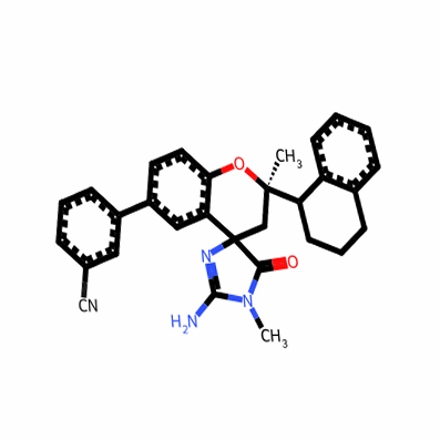 CN1C(=O)C2(C[C@](C)(C3CCCc4ccccc43)Oc3ccc(-c4cccc(C#N)c4)cc32)N=C1N